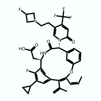 C=C(C)/C1=C(\C=C/C)Oc2cccc(c2)[C@@H](n2cc(CCN3CC(F)C3)c(C(F)(F)F)cc2=O)C(=O)N[C@H](CC(=O)O)c2cc1cc(C1CC1)c2F